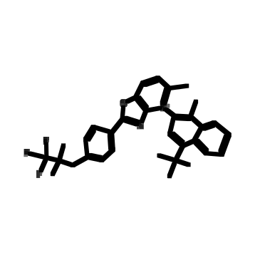 Cc1c(-[n+]2c(C)ccc3oc(-c4ccc(CC(C)(C)C(F)(F)F)cc4)nc32)cc(C(C)(C)C)c2ccccc12